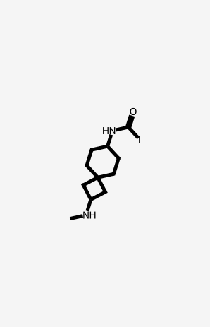 CNC1CC2(CCC(NC(=O)I)CC2)C1